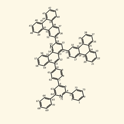 c1ccc(-c2cc(-c3ccc(-c4cc5c(-c6ccc7c8ccccc8c8ccccc8c7c6)cc(-c6ccc7c8ccccc8c8ccccc8c7c6)nc5c5ccccc45)cc3)cc(-c3ccccc3)n2)cc1